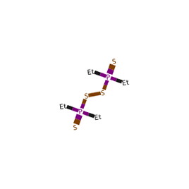 CCP(=S)(CC)SSP(=S)(CC)CC